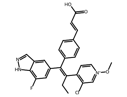 CC/C(=C(/c1ccc(/C=C/C(=O)O)cc1)c1cc(F)c2[nH]ncc2c1)c1cc[n+](OC)cc1Cl